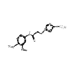 COc1ccc(NC(=O)CSn2cnc(C(=O)O)c2)cc1OC